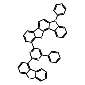 c1ccc(-c2cc(-c3cccc4c3sc3c4ccc4c3c3ccccc3n4-c3ccccc3)nc(-c3cccc4sc5ccccc5c34)n2)cc1